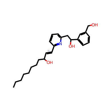 CCCCCCCCC(O)/C=C/c1cccc(CC(O)c2cccc(CO)c2)n1